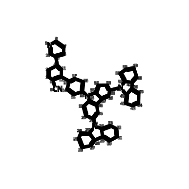 N#Cc1ccc(-c2cccnc2)cc1-c1ccc(-n2c3ccc(-n4c5ccccc5c5ccccc54)cc3c3cc(-n4c5ccccc5c5ccccc54)ccc32)cc1